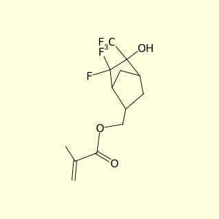 C=C(C)C(=O)OCC1CC2CC1C(F)(F)C2(O)C(F)(F)F